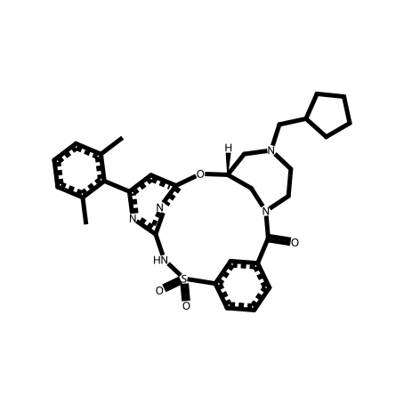 Cc1cccc(C)c1-c1cc2nc(n1)NS(=O)(=O)c1cccc(c1)C(=O)N1CCN(CC3CCCC3)C[C@H](C1)O2